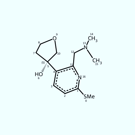 CSc1ccc([C@@]2(O)CCOC2)c(CN(C)C)n1